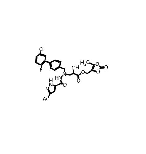 CC(=O)c1cc(C(=O)NN(Cc2ccc(-c3cc(Cl)ccc3F)cc2)C[C@@H](O)C(=O)OCc2oc(=O)oc2C)[nH]n1